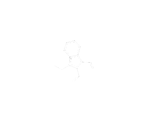 CCn1c(C=O)c(C=O)c2ccccc21